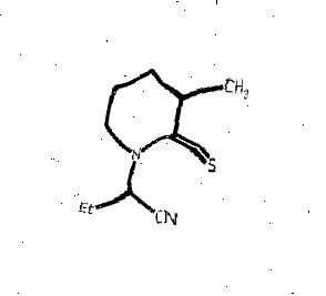 CCC(C#N)N1CCCC(C)C1=S